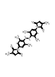 CC1=CC(=O)N(c2cc(C)c(SSc3c(C)cc(N4C(=O)C=C(C)C4=O)cc3C)c(C)c2)C1=O